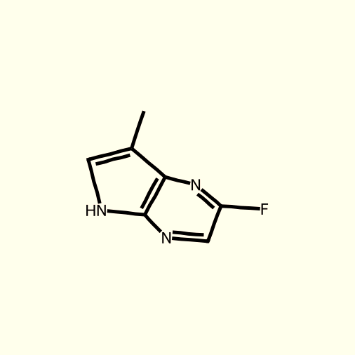 Cc1c[nH]c2ncc(F)nc12